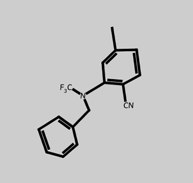 Cc1ccc(C#N)c(N(Cc2ccccc2)C(F)(F)F)c1